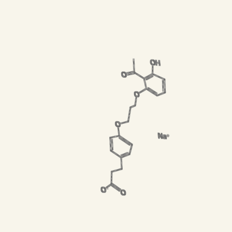 CC(=O)c1c(O)cccc1OCCCOc1ccc(CCC(=O)[O-])cc1.[Na+]